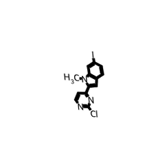 Cn1c(-c2ccnc(Cl)n2)cc2ccc(I)cc21